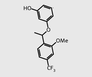 COc1cc(C(F)(F)F)ccc1C(C)Oc1c[c]cc(O)c1